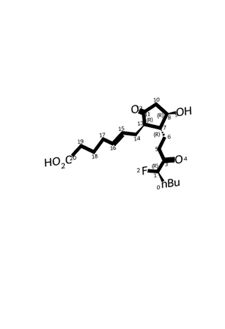 CCCC[C@@H](F)C(=O)CC[C@H]1[C@H](O)CC(=O)[C@@H]1CC=CCCCC(=O)O